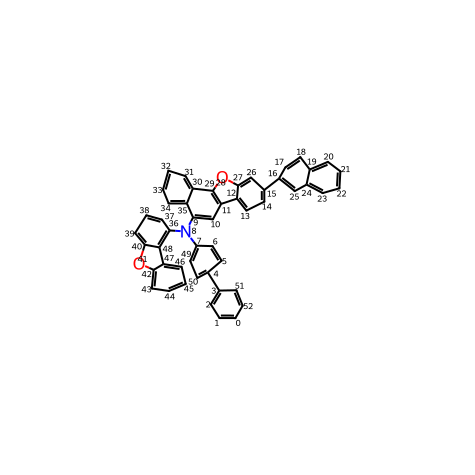 c1ccc(-c2ccc(N(c3cc4c5ccc(-c6ccc7ccccc7c6)cc5oc4c4ccccc34)c3cccc4oc5ccccc5c34)cc2)cc1